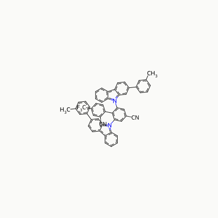 Cc1cccc(-c2ccc3c4ccccc4n(-c4cc(C#N)cc(-n5c6ccccc6c6ccc(-c7cccc(C)c7)cc65)c4-c4ccc(C(F)(F)F)cc4C#N)c3c2)c1